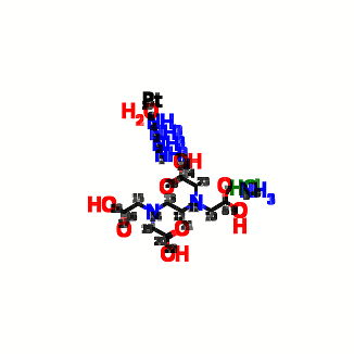 Cl.N.N.N.N.N.O.O=C(O)CN(CCN(CC(=O)O)CC(=O)O)CC(=O)O.[Pt]